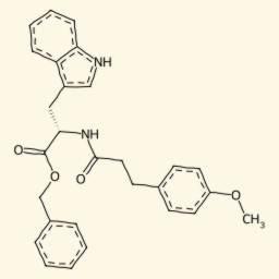 COc1ccc(CCC(=O)N[C@@H](Cc2c[nH]c3ccccc23)C(=O)OCc2ccccc2)cc1